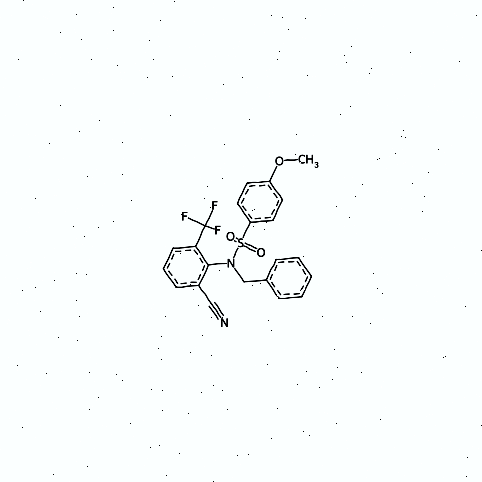 COc1ccc(S(=O)(=O)N(Cc2ccccc2)c2c(C#N)cccc2C(F)(F)F)cc1